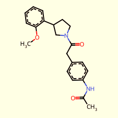 COc1ccccc1C1CCN(C(=O)Cc2ccc(NC(C)=O)cc2)C1